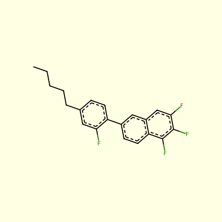 CCCCCc1ccc(-c2ccc3c(F)c(F)c(F)cc3c2)c(F)c1